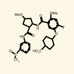 COc1cc(F)c(OC2CCC(C(=O)O)CC2)cc1C(=O)NC1CC(OC)CC1C(=O)Nc1cccc([S+]([O-])C(F)(F)F)c1